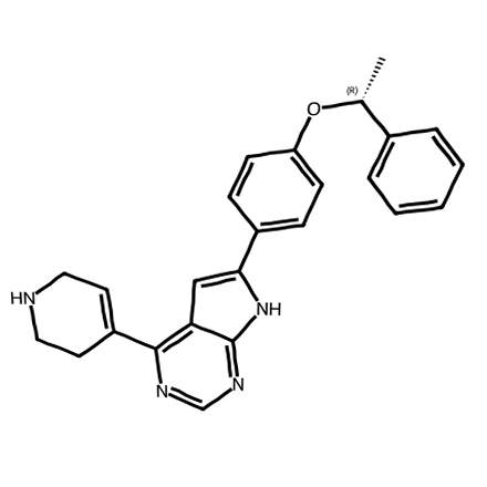 C[C@@H](Oc1ccc(-c2cc3c(C4=CCNCC4)ncnc3[nH]2)cc1)c1ccccc1